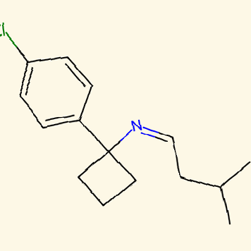 CC(C)C/C=N\C1(c2ccc(Cl)cc2)CCC1